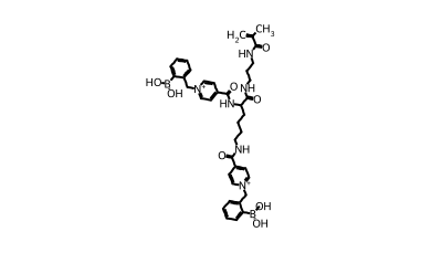 C=C(C)C(=O)NCCCNC(=O)C(CCCCNC(=O)c1cc[n+](Cc2ccccc2B(O)O)cc1)NC(=O)c1cc[n+](Cc2ccccc2B(O)O)cc1